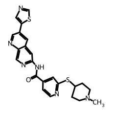 CN1CCC(Sc2cc(C(=O)Nc3cc4cc(-c5cncs5)cnc4cn3)ccn2)CC1